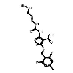 Cc1cc(F)c(COc2nsc(NC(=O)NCCCNC(C)(C)C)c2C(N)=O)c(F)c1